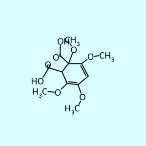 COC1=CC(OC)=C(OC)C(C(=O)O)C1(OC)C(=O)O